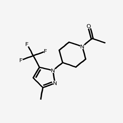 CC(=O)N1CCC(n2nc(C)cc2C(F)(F)F)CC1